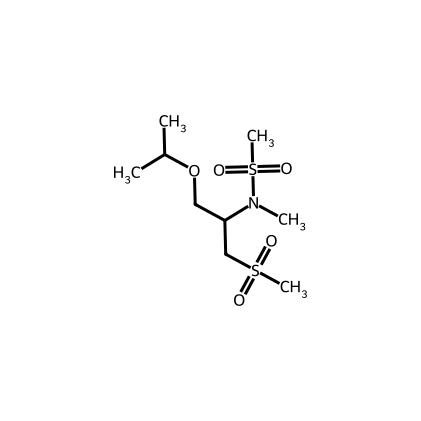 CC(C)OCC(CS(C)(=O)=O)N(C)S(C)(=O)=O